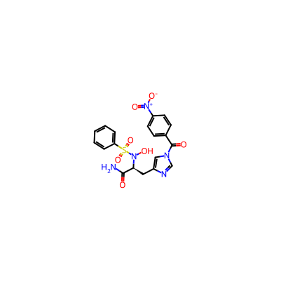 NC(=O)[C@H](Cc1cn(C(=O)c2ccc([N+](=O)[O-])cc2)cn1)N(O)S(=O)(=O)c1ccccc1